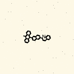 Cc1c2ccccc2c(-c2ccc3cc(-c4ccc5ccccc5n4)ccc3c2)c2ccccc12